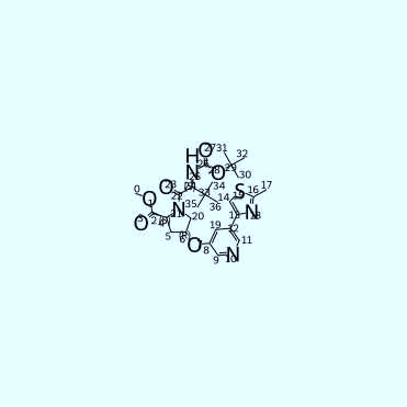 COC(=O)[C@@H]1C[C@@H](Oc2cncc(-c3csc(C)n3)c2)CN1C(=O)[C@@H](NC(=O)OC(C)(C)C)C(C)(C)C